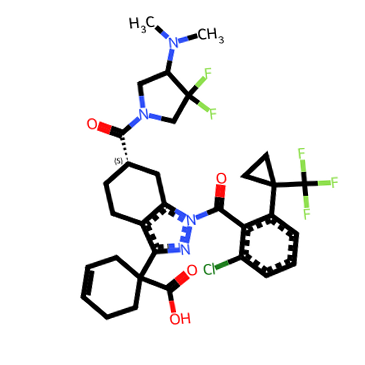 CN(C)C1CN(C(=O)[C@H]2CCc3c(C4(C(=O)O)CC=CCC4)nn(C(=O)c4c(Cl)cccc4C4(C(F)(F)F)CC4)c3C2)CC1(F)F